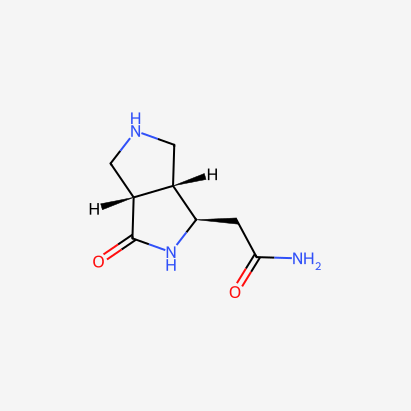 NC(=O)C[C@H]1NC(=O)[C@@H]2CNC[C@H]12